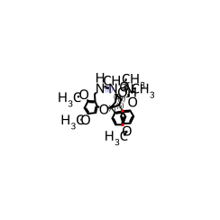 COc1ccc([C@]23C[C@@](O)(/N=C(/C)NCc4c(OC)cc(OC)cc4O2)[C@H](C(=O)N(C)OC)[C@H]3c2ccccc2)cc1